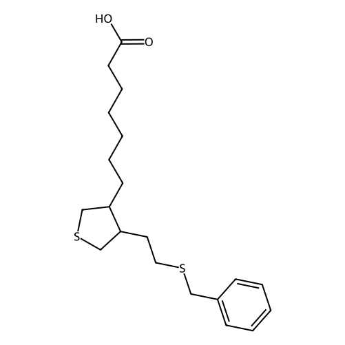 O=C(O)CCCCCCC1CSCC1CCSCc1ccccc1